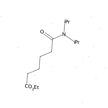 CCOC(=O)CCCCC(=O)N(C(C)C)C(C)C